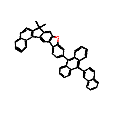 CC1(C)c2cc3oc4cc(-c5c6ccccc6c(-c6ccc7ccccc7c6)c6ccccc56)ccc4c3cc2-c2c1ccc1ccccc21